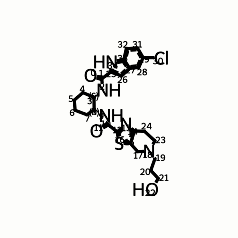 O=C(N[C@H]1CCCC[C@H]1NC(=O)c1nc2c(s1)CN(CCCO)CC2)c1cc2cc(Cl)ccc2[nH]1